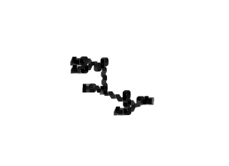 CC(=O)OCC(COC(C)=O)COC(=O)CCCCCN(CCO)CCCCCC(=O)OCC(COC(C)=O)COC(C)=O